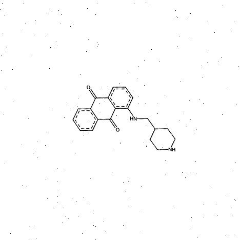 O=C1c2ccccc2C(=O)c2c(NCC3CCNCC3)cccc21